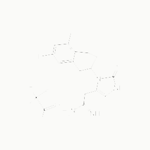 N=C(N)Cc1c[nH]c(=S)n1C1CCc2c(F)cc(F)cc2C1.O=C(O)C(F)(F)F